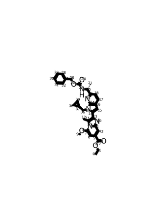 CCOC(=O)c1cc(OC)n2c(C)c(-c3cc4ccc([C@@H](C)NC(=O)OCc5ccccc5)nc4n3CC3CC3)nc2c1